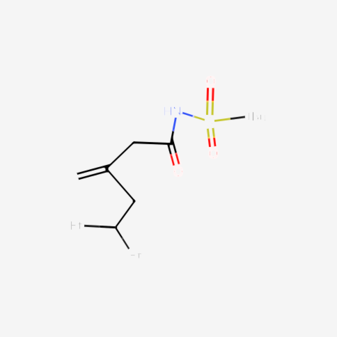 C=C(CC(=O)NS(=O)(=O)C(C)(C)C)CC(CC)CC